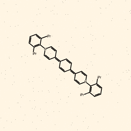 CC(C)c1cccc(C(C)C)c1N1C=CC(=c2ccc(=C3C=CN(c4c(C(C)C)cccc4C(C)C)C=C3)cc2)C=C1